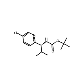 CC(C)[C@H](NC(=O)OC(C)(C)C)c1ccc(Cl)cn1